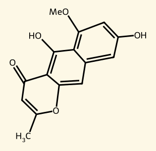 COc1cc(O)cc2cc3oc(C)cc(=O)c3c(O)c12